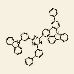 c1ccc(-c2cccc(-c3nc(-c4ccc(-c5cc(-c6ccccc6)ccc5-n5c6ccccc6c6ccccc65)cc4)nc(-c4cccc(-n5c6ccccc6c6ccccc65)c4)n3)c2)cc1